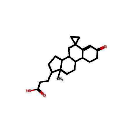 CC12CCC3C4CCC(=O)C=C4C4(CC4)CC3C1CCC2CCC(=O)O